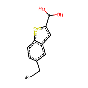 CC(C)Cc1ccc2sc(B(O)O)cc2c1